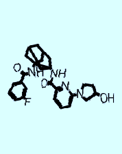 O=C(NC12CC3CC(C1)CC(NC(=O)c1cccc(N4CCC(O)C4)n1)(C3)C2)c1cccc(F)c1